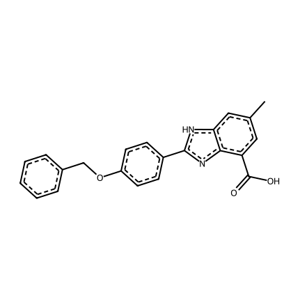 Cc1cc(C(=O)O)c2nc(-c3ccc(OCc4ccccc4)cc3)[nH]c2c1